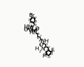 NC(CC(=O)NCCCCNC(=O)[C@H]1OC(=O)N[C@@H]1Cc1ccc(Br)cc1)Cc1cc(F)ccc1F